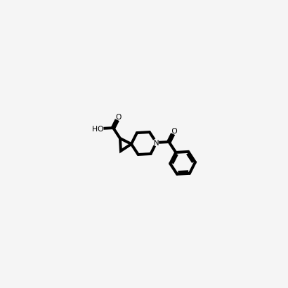 O=C(O)C1CC12CCN(C(=O)c1ccccc1)CC2